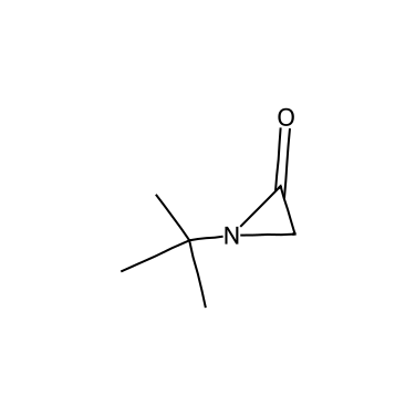 CC(C)(C)N1CC1=O